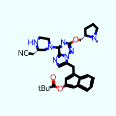 CN1CCC[C@H]1COc1nc(N2CCN[C@@H](CC#N)C2)c2ncc(Cc3cc(OC(=O)C(C)(C)C)cc4ccccc34)n2n1